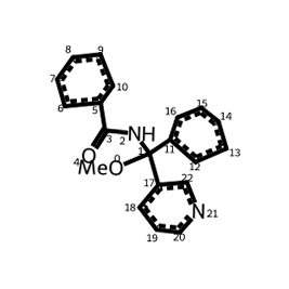 COC(NC(=O)c1ccccc1)(c1ccccc1)c1cccnc1